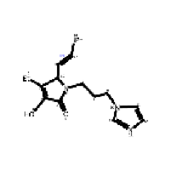 CCC1=C(O)C(=O)N(CCCn2ccnc2)C1/C=C/C(C)C